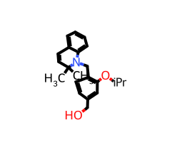 CC(C)Oc1cc(CO)ccc1CN1c2ccccc2C=CC1(C)C